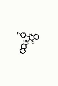 O=c1c2ccccc2nc(-c2ccc(F)cc2)n1NCc1ccc2ccccc2c1